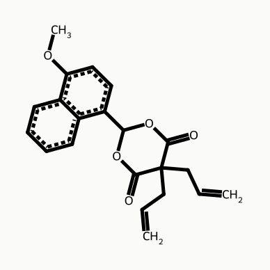 C=CCC1(CC=C)C(=O)OC(c2ccc(OC)c3ccccc23)OC1=O